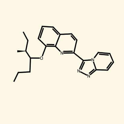 CCCC(Oc1cccc2ccc(-c3nnc4ccccn34)nc12)[C@@H](C)CC